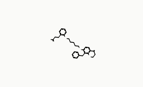 O=C(O)CCc1ccccc1OCCCCCOc1ccc2c(c1Cc1ccccc1)OCCC2=O